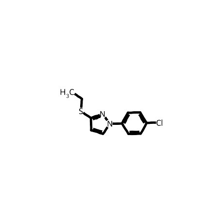 CCSc1ccn(-c2ccc(Cl)cc2)n1